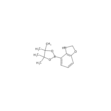 CC1(C)OB(c2cccc3c2NCO3)OC1(C)C